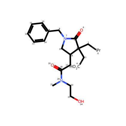 CC(C)CC1(CC(=O)O)C(=O)N(Cc2ccccc2)CC1CC(=O)N(C)CCO